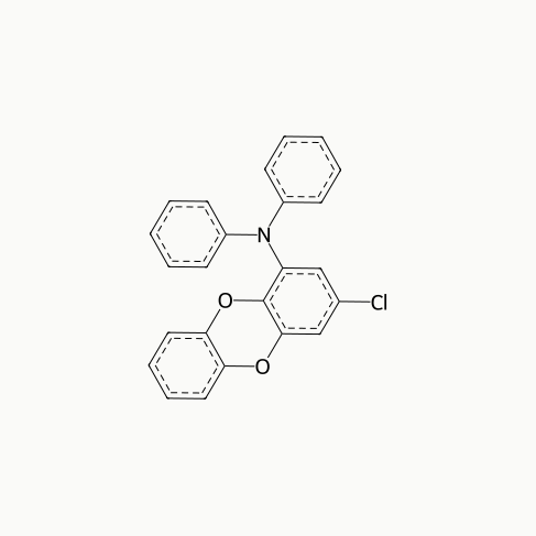 Clc1cc2c(c(N(c3ccccc3)c3ccccc3)c1)Oc1ccccc1O2